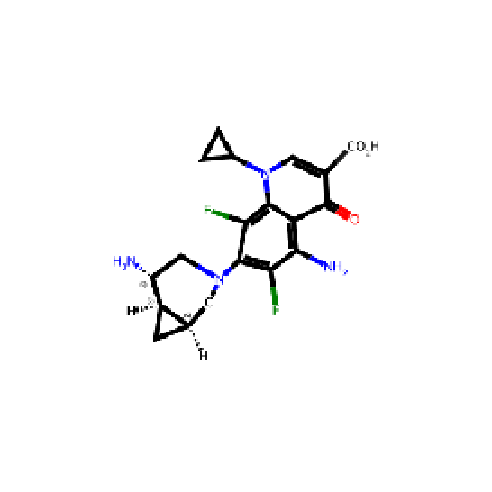 Nc1c(F)c(N2C[C@H]3C[C@H]3[C@H](N)C2)c(F)c2c1c(=O)c(C(=O)O)cn2C1CC1